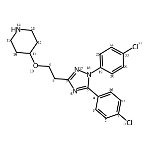 Clc1ccc(-c2nc(CCOC3CCNCC3)nn2-c2ccc(Cl)cc2)cc1